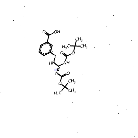 CC(C)(C)OC(=O)/N=C(/NCc1cccc(C(=O)O)c1)NC(=O)OC(C)(C)C